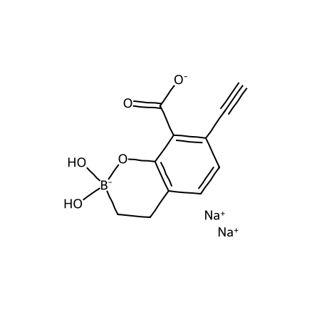 C#Cc1ccc2c(c1C(=O)[O-])O[B-](O)(O)CC2.[Na+].[Na+]